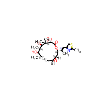 CC[C@@]12CCC[C@H](C)[C@H](O)[C@@H](C)C(=O)C(C)(C)[C@@H](O)CC(=O)O[C@H](/C(C)=C/c3csc(C)n3)C[C@@H]1O2